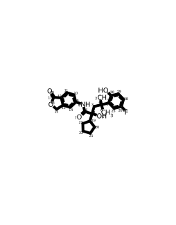 CC(C)(CC(O)(C(=O)Nc1ccc2c(c1)COC2=O)C1CCCC1)c1cc(F)ccc1O